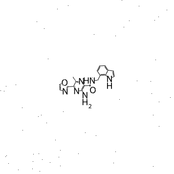 Cc1nc(C(=O)NCc2cccc3cc[nH]c23)c(N)nc1-c1ncco1